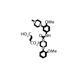 COc1ccc(NC(=O)N2CCN(c3ccccc3OC)CC2)cc1N1CCN(C)CC1.O=C(O)/C=C/C(=O)O